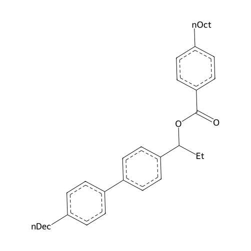 CCCCCCCCCCc1ccc(-c2ccc(C(CC)OC(=O)c3ccc(CCCCCCCC)cc3)cc2)cc1